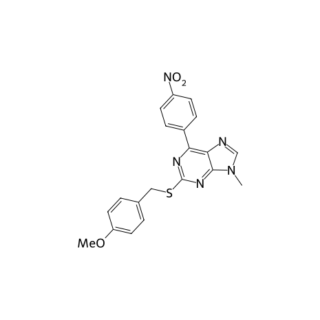 COc1ccc(CSc2nc(-c3ccc([N+](=O)[O-])cc3)c3ncn(C)c3n2)cc1